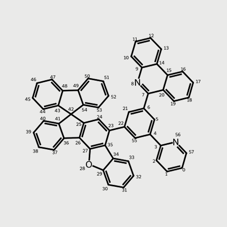 c1ccc(-c2cc(-c3nc4ccccc4c4ccccc34)cc(-c3cc4c(c5oc6ccccc6c35)-c3ccccc3C43c4ccccc4-c4ccccc43)c2)nc1